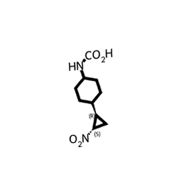 O=C(O)NC1CCC([C@H]2C[C@@H]2[N+](=O)[O-])CC1